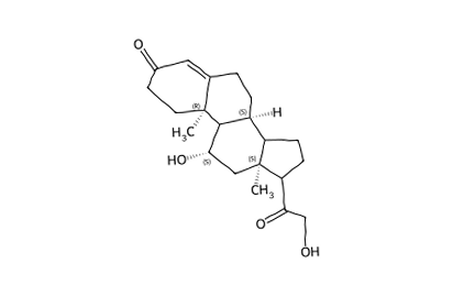 C[C@]12C[C@H](O)C3[C@@H](CCC4=CC(=O)CC[C@@]43C)C1CCC2C(=O)CO